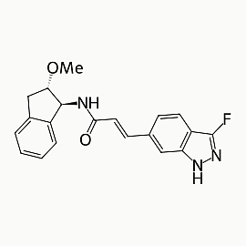 CO[C@H]1Cc2ccccc2[C@@H]1NC(=O)/C=C/c1ccc2c(F)n[nH]c2c1